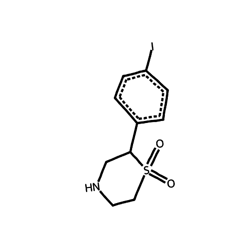 O=S1(=O)CCNCC1c1ccc(I)cc1